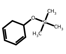 C[Si](C)(C)OC1C=CC=CC1